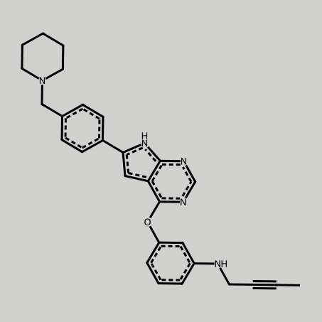 CC#CCNc1cccc(Oc2ncnc3[nH]c(-c4ccc(CN5CCCCC5)cc4)cc23)c1